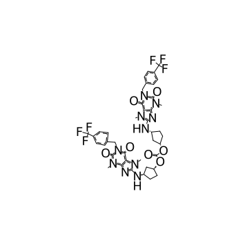 Cn1c(N[C@@H]2CC[C@H](OC(=O)O[C@H]3CC[C@@H](Nc4nc5c(c(=O)n(Cc6ccc(C(F)(F)F)cc6)c(=O)n5C)n4C)C3)C2)nc2c1c(=O)n(Cc1ccc(C(F)(F)F)cc1)c(=O)n2C